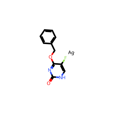 O=c1nc(OCc2ccccc2)c(F)c[nH]1.[Ag]